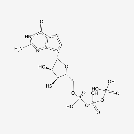 Nc1nc2c(ncn2[C@@H]2O[C@H](COP(=O)(O)OP(=O)(O)OP(=O)(O)O)[C@@H](S)[C@H]2O)c(=O)[nH]1